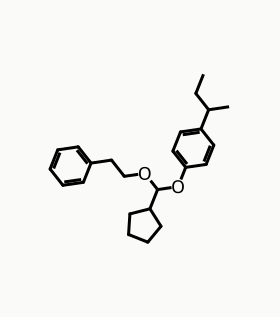 CCC(C)c1ccc(OC(OCCc2ccccc2)C2CCCC2)cc1